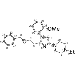 CCN1CCN(c2nc(CCOCc3ccccc3)ns2)CC1.COc1ccccc1